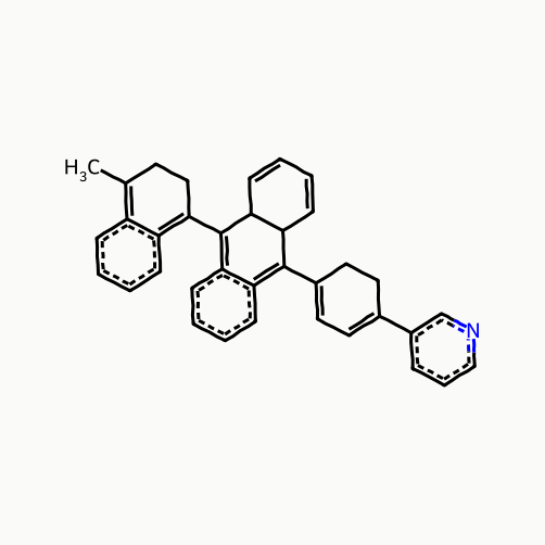 CC1=c2ccccc2=C(C2=c3ccccc3=C(C3=CC=C(c4cccnc4)CC3)C3C=CC=CC23)CC1